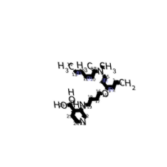 C=C/C=C(\C=C\N(C)C(C)/C=C\C=C\C)OCCCCNC1C=NC=CC1C(O)O